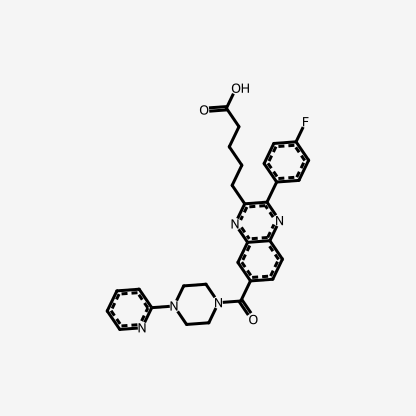 O=C(O)CCCCc1nc2cc(C(=O)N3CCN(c4ccccn4)CC3)ccc2nc1-c1ccc(F)cc1